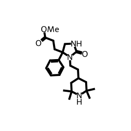 COC(=O)CCC1(c2ccccc2)CNC(=O)N1CCC1CC(C)(C)NC(C)(C)C1